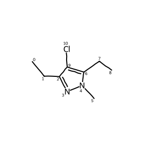 CCc1nn(C)c(CC)c1Cl